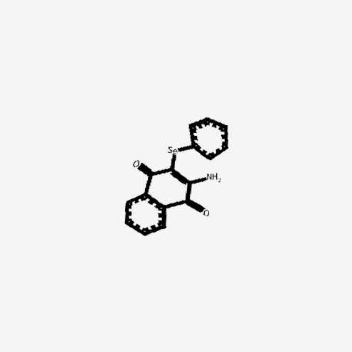 NC1=C([Se]c2ccccc2)C(=O)c2ccccc2C1=O